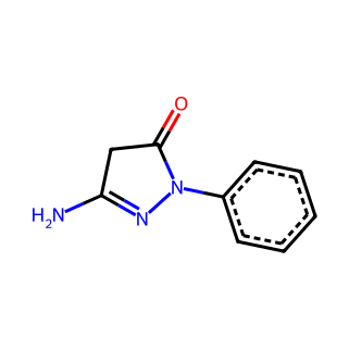 NC1=NN(c2ccccc2)C(=O)C1